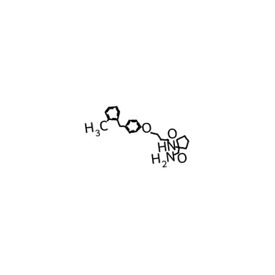 Cc1ccccc1Cc1ccc(OCCCC(=O)NC2(C(N)=O)CCCC2)cc1